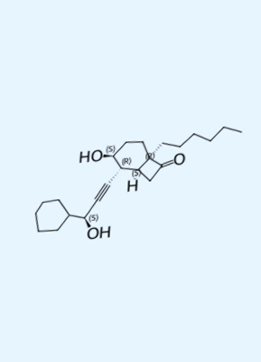 CCCCCC[C@@]12CC[C@H](O)[C@@H](C#C[C@@H](O)C3CCCCC3)[C@@H]1CC2=O